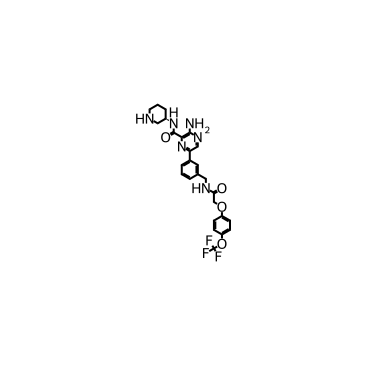 Nc1ncc(-c2cccc(CNC(=O)COc3ccc(OC(F)(F)F)cc3)c2)nc1C(=O)N[C@H]1CCCNC1